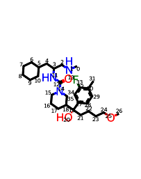 CNCC(CC1CCCCC1)NC(=O)N1CCCC([C@](O)(CCCCOC)c2ccc(C)c(F)c2)C1